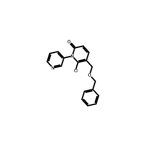 O=c1ccc(COCc2ccccc2)c(Cl)n1-c1cccnc1